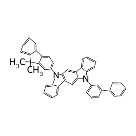 CC1(C)c2ccccc2-c2ccc(-n3c4ccccc4c4cc5c(cc43)c3ccccc3n5-c3cccc(-c4ccccc4)c3)cc21